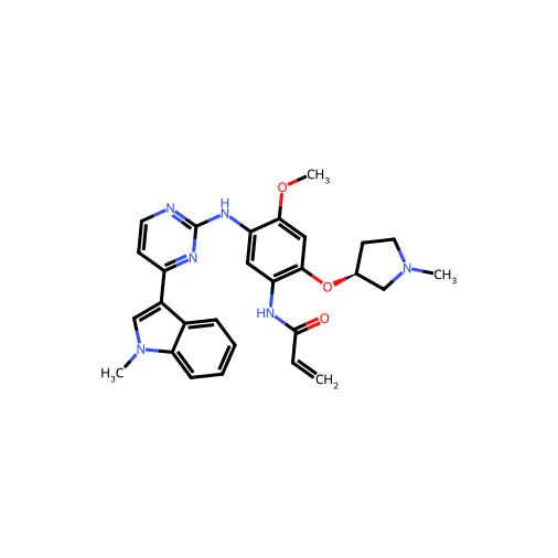 C=CC(=O)Nc1cc(Nc2nccc(-c3cn(C)c4ccccc34)n2)c(OC)cc1O[C@H]1CCN(C)C1